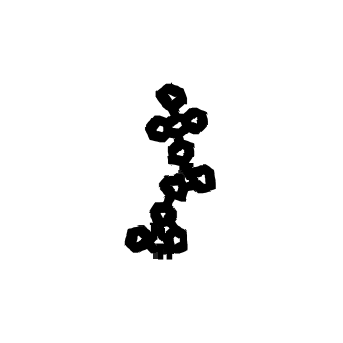 CC(C)c1ccccc1-n1c2ccccc2c2cc(-c3ccc4c(c3)c3ccccc3n4-c3ccc(-c4c5ccccc5c(-c5ccccc5)c5ccccc45)cc3)ccc21